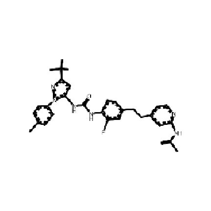 C=C(C)Nc1cc(CCc2ccc(NC(=O)Nc3cc(C(C)(C)C)nn3-c3ccc(C)cc3)c(F)c2)ccn1